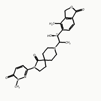 Cc1c([C@H](O)C(C)N2CCC3(CCN(c4ccc(=O)n(C)n4)C3=O)CC2)ccc2c1COC2=O